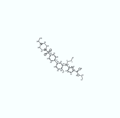 CCCN(c1nc(C(=O)OCC)cs1)c1cc(-c2ccc(S(=O)(=O)N3CCN(CC)CC3)cc2)ccc1C